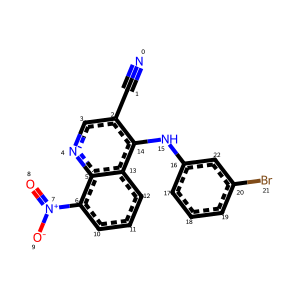 N#Cc1cnc2c([N+](=O)[O-])cccc2c1Nc1cccc(Br)c1